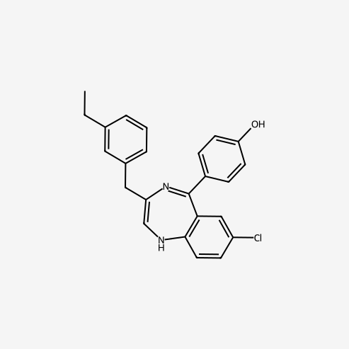 CCc1cccc(CC2=CNc3ccc(Cl)cc3C(c3ccc(O)cc3)=N2)c1